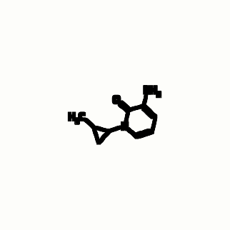 CC1CC1n1cccc(N)c1=O